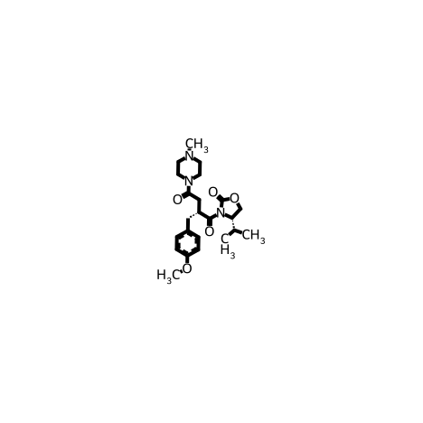 COc1ccc(C[C@H](CC(=O)N2CCN(C)CC2)C(=O)N2C(=O)OC[C@@H]2C(C)C)cc1